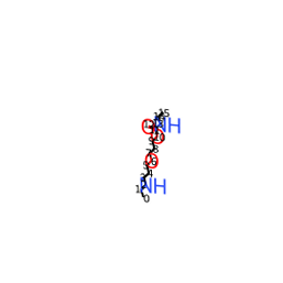 CCNCCCOCCCOC(=O)NCC